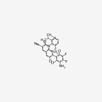 Cc1ccnc(C(C)C)c1-n1c(=O)c(C#N)cc2cc(Cl)c(-c3c(Cl)c(N)c(F)c(F)c3Cl)nc21